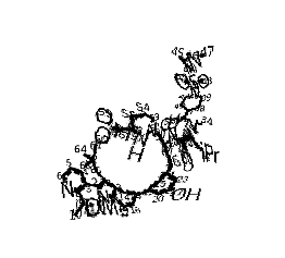 CCn1c(-c2cccnc2[C@H](C)OC)c2c3cc(ccc31)-c1cc(O)cc(c1)C[C@H](NC(=O)C(C(C)C)N(C)C(=O)C1CCN(S(=O)(=O)[C@@H]3CN3C)CC1)C(=O)N1CCC[C@H](N1)C(=O)OCC(C)(C)C2